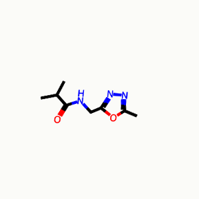 Cc1nnc(CNC(=O)C(C)C)o1